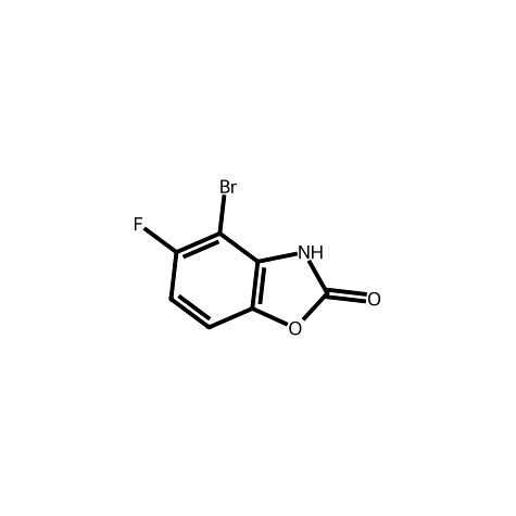 O=c1[nH]c2c(Br)c(F)ccc2o1